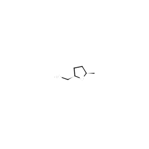 C[C@@H]1CC[C@H](CO)O1